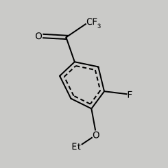 CCOc1ccc(C(=O)C(F)(F)F)cc1F